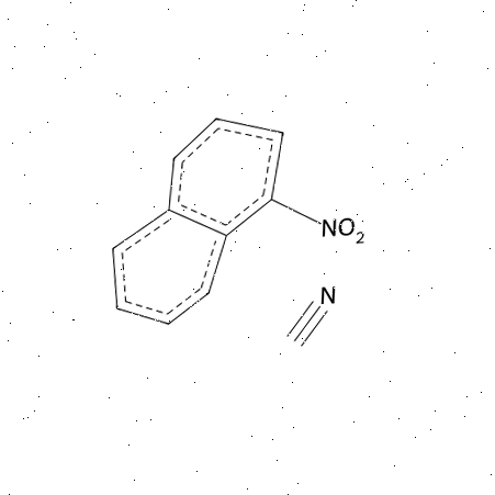 C#N.O=[N+]([O-])c1cccc2ccccc12